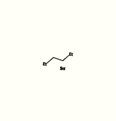 CCCCCC.[Sn]